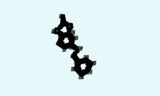 CC1Oc2ccc(SCc3ccccc3)cc2O1